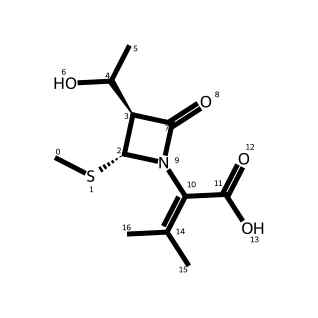 CS[C@@H]1[C@@H](C(C)O)C(=O)N1C(C(=O)O)=C(C)C